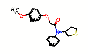 COc1ccc(OCC(=O)N(c2ccccc2)C2CCSC2)cc1